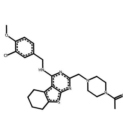 COc1ccc(CNc2nc(CN3CCN(C(C)=O)CC3)nc3sc4c(c23)CCCC4)cc1Cl